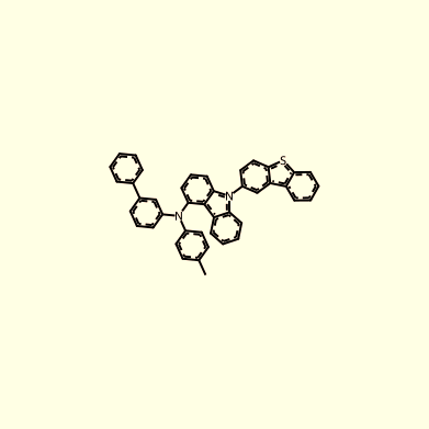 Cc1ccc(N(c2cccc(-c3ccccc3)c2)c2cccc3c2c2ccccc2n3-c2ccc3sc4ccccc4c3c2)cc1